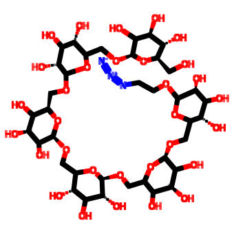 [N-]=[N+]=NCCOC1OC(CO[C@@H]2OC(CO[C@@H]3OC(CO[C@@H]4O[C@H](COC5OC(CO[C@@H]6O[C@H](CO)[C@@H](O)[C@H](O)C6O)[C@@H](O)C(O)[C@H]5O)C(O)[C@H](O)C4O)[C@@H](O)C(O)[C@H]3O)C(O)[C@H](O)C2O)[C@@H](O)C(O)[C@H]1O